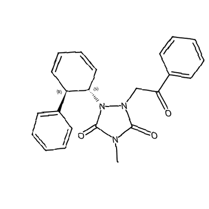 Cn1c(=O)n(CC(=O)c2ccccc2)n([C@H]2C=CC=C[C@@H]2c2ccccc2)c1=O